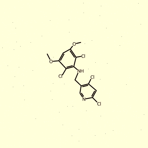 COc1cc(OC)c(Cl)c(NCc2cnc(Cl)cc2Cl)c1Cl